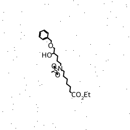 CCOC(=O)CCCCCCN(CCCC(O)COCc1ccccc1)S(C)(=O)=O